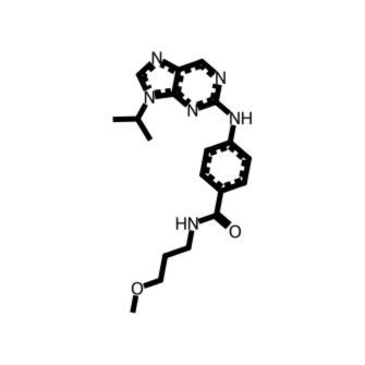 COCCCNC(=O)c1ccc(Nc2ncc3ncn(C(C)C)c3n2)cc1